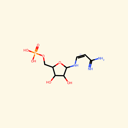 N=C(N)/C=C\NC1OC(COP(=O)(O)O)C(O)C1O